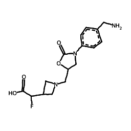 NCc1ccc(N2CC(CN3CC(C(F)C(=O)O)C3)OC2=O)cc1